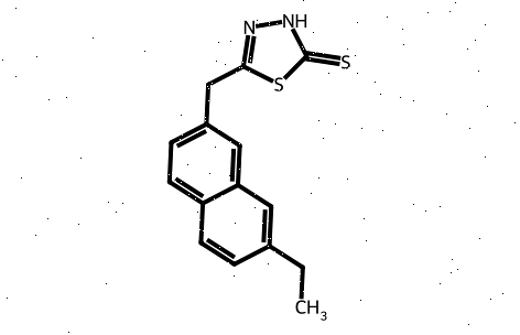 CCc1ccc2ccc(Cc3n[nH]c(=S)s3)cc2c1